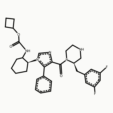 O=C(NC1CCCC[C@@H]1n1cnc(C(=O)N2CCNC[C@H]2Cc2cc(F)cc(F)c2)c1-c1ccccc1)OC1CCC1